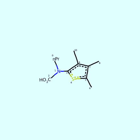 CCCN(C(=O)O)c1sc(C)c(C)c1C